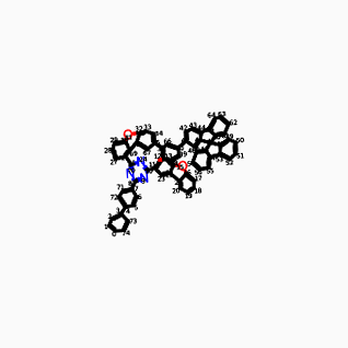 c1ccc(-c2ccc(-c3nc(-c4ccc5oc6ccccc6c5c4)nc(-c4cccc5oc6ccc(-c7cccc(-c8ccc9c(c8)C8(c%10ccccc%10-c%10ccccc%108)c8ccccc8-9)c7)cc6c45)n3)cc2)cc1